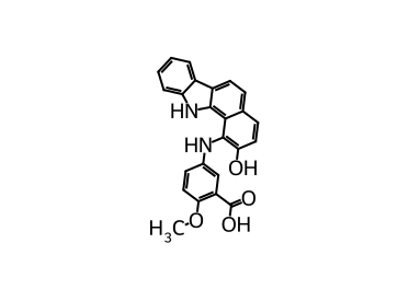 COc1ccc(Nc2c(O)ccc3ccc4c5ccccc5[nH]c4c23)cc1C(=O)O